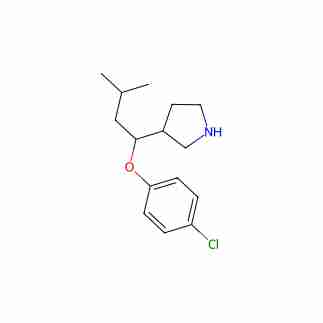 CC(C)CC(Oc1ccc(Cl)cc1)C1CCNC1